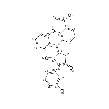 O=C(O)c1ccccc1Oc1ccccc1C=C1CC(=O)N(c2cccc(Cl)c2)C1=O